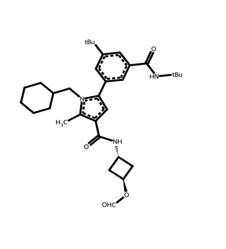 Cc1c(C(=O)N[C@H]2C[C@H](OC=O)C2)cc(-c2cc(C(=O)NC(C)(C)C)cc(C(C)(C)C)c2)n1CC1CCCCC1